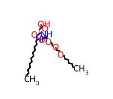 CCCCCCCCCCCCCCNC(=O)[C@H](CC(=O)O)NC(=O)COCCOCCOCCCCCCC